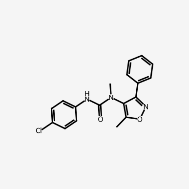 Cc1onc(-c2ccccc2)c1N(C)C(=O)Nc1ccc(Cl)cc1